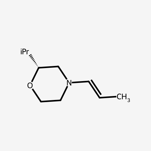 C/C=C/N1CCO[C@H](C(C)C)C1